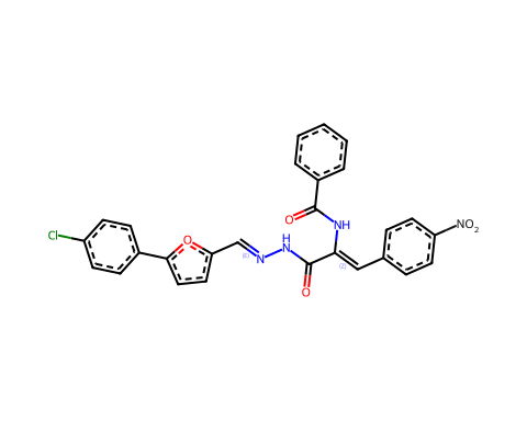 O=C(N/N=C/c1ccc(-c2ccc(Cl)cc2)o1)/C(=C/c1ccc([N+](=O)[O-])cc1)NC(=O)c1ccccc1